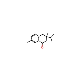 Cc1ccc2c(c1)C(=O)CC(C)(C(C)C)C2